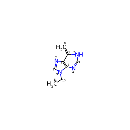 C=C1NC=Nc2c1ncn2CC